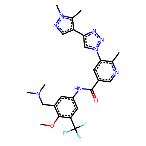 COc1c(CN(C)C)cc(NC(=O)c2cnc(C)c(-n3cc(-c4cnn(C)c4C)nn3)c2)cc1C(F)(F)F